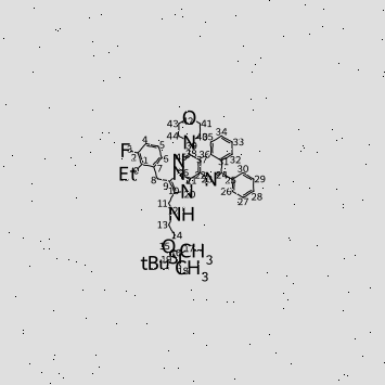 CCc1c(F)cccc1Cc1c(CNCCO[Si](C)(C)C(C)(C)C)nc2c(N=C(c3ccccc3)c3ccccc3)cc(N3CCOCC3)nn12